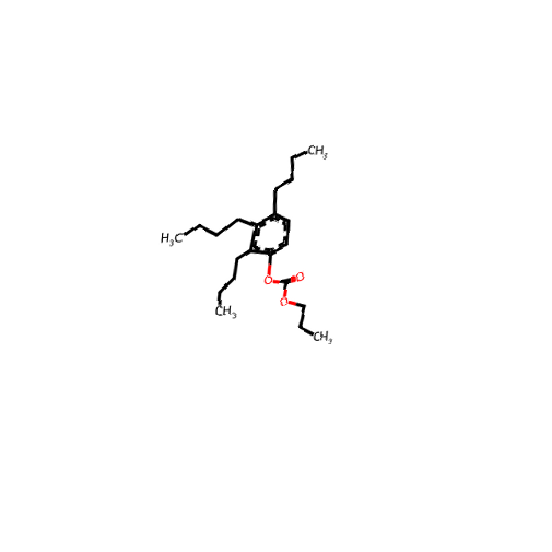 CCCCc1ccc(OC(=O)OCCC)c(CCCC)c1CCCC